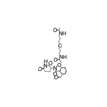 CC(=O)NCCCOCCCNC(=O)COc1cccc(C=O)c1C(=O)N(C)C1CCC(=O)NC1=O